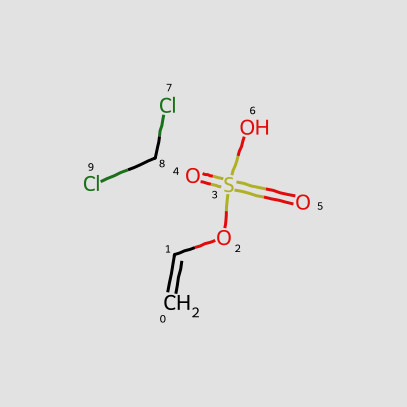 C=COS(=O)(=O)O.ClCCl